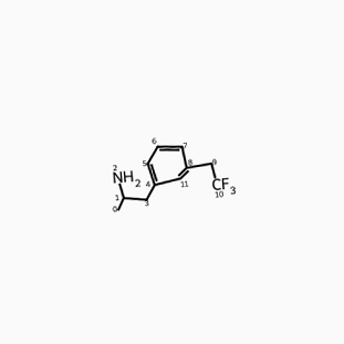 CC(N)Cc1cccc(CC(F)(F)F)c1